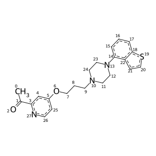 CC(=O)c1cc(OCCCN2CCN(c3cccc4sccc34)CC2)ccn1